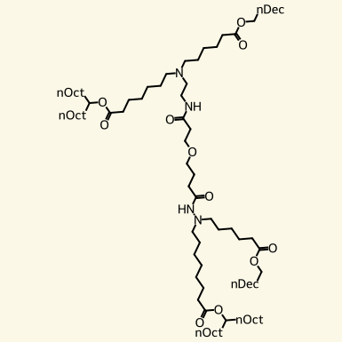 CCCCCCCCCCCOC(=O)CCCCCN(CCCCCCC(=O)OC(CCCCCCCC)CCCCCCCC)CCNC(=O)CCOCCCC(=O)NN(CCCCCCCC(=O)OC(CCCCCCCC)CCCCCCCC)CCCCCC(=O)OCCCCCCCCCCC